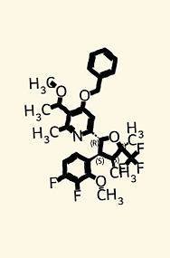 COc1c([C@H]2[C@H](c3cc(OCc4ccccc4)c(C(C)OC)c(C)n3)O[C@@](C)(C(F)(F)F)[C@H]2C)ccc(F)c1F